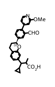 COc1cc(-c2ccc([C@@H]3CCc4ccc(C(C5CC5)C(C)C(=O)O)cc4O3)cc2C=O)ccn1